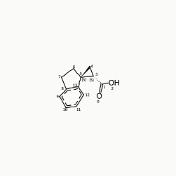 O=C(O)[C@H]1C[C@@]12CCc1ccccc12